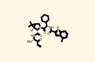 C=CC(=O)[C@@H](NC(=O)[C@@H]1[C@@H]2C(CN1C(=O)[C@@H](NC(=O)c1cc3c(C)cccc3[nH]1)C1CCCCC1)C2(C)C)C(C)(C)C